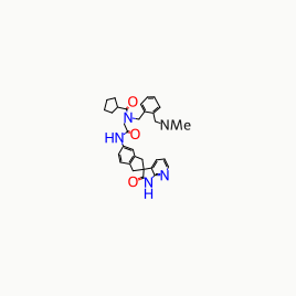 CNCc1ccccc1CN(CC(=O)Nc1ccc2c(c1)CC1(C2)C(=O)Nc2ncccc21)C(=O)C1CCCC1